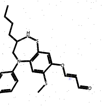 CCCCC1CN(c2ccc(F)cc2)c2cc(SC)c(O/C=C/C=O)cc2SN1